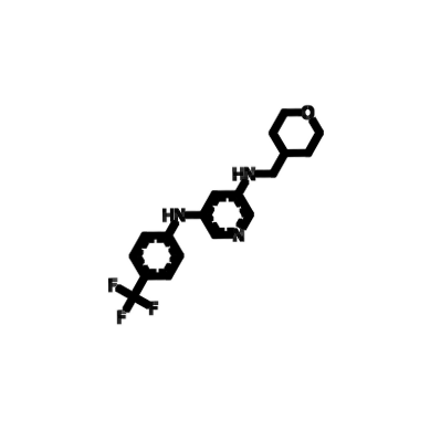 FC(F)(F)c1ccc(Nc2cncc(NCC3CCOCC3)c2)cc1